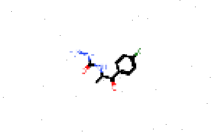 CC(NC(=O)NN)C(=O)c1ccc(Cl)cc1